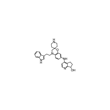 OC1CCc2c(Nc3ccc4c(c3)OC3(CCNCC3)CN4CCc3c[nH]c4ccccc34)ccnc21